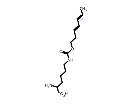 C/C=C/C=C/CCOC(=O)NCCCCC(N)C(=O)O